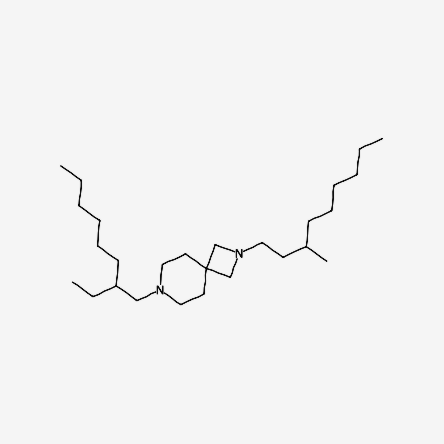 CCCCCCC(C)CCN1CC2(CCN(CC(CC)CCCCCC)CC2)C1